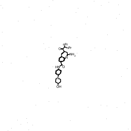 CCCC(CCC)C(=O)C1=Cc2ccc(C(=O)Nc3ccc(N4CCC(O)CC4)cc3)cc2N=C(N)C1